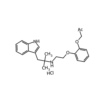 CC(=O)COc1ccccc1OCCNC(C)(C)Cc1c[nH]c2ccccc12.Cl